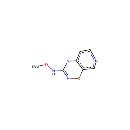 CCCCONC1=NSc2cnccc2N1